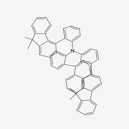 CC1(C)c2ccccc2-c2ccc(-c3cccc(N(c4ccccc4-c4cccc5c4-c4ccccc4C5(C)C)c4ccccc4-c4cccc5ccccc45)c3)cc21